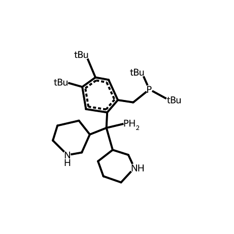 CC(C)(C)c1cc(CP(C(C)(C)C)C(C)(C)C)c(C(P)(C2CCCNC2)C2CCCNC2)cc1C(C)(C)C